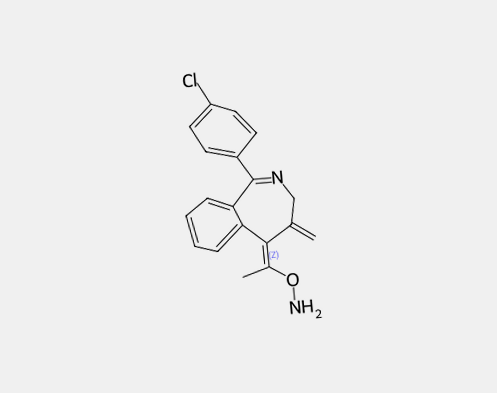 C=C1CN=C(c2ccc(Cl)cc2)c2ccccc2/C1=C(\C)ON